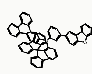 c1cc(-c2ccc3oc4ccccc4c3c2)cc(N(c2ccc3c4ccccc4c4ccccc4c3c2)c2cccc3c2C2(c4ccccc4-c4ccccc42)c2ccccc2-3)c1